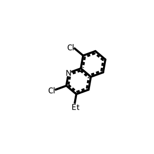 CCc1cc2cccc(Cl)c2nc1Cl